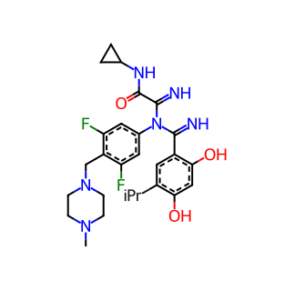 CC(C)c1cc(C(=N)N(C(=N)C(=O)NC2CC2)c2cc(F)c(CN3CCN(C)CC3)c(F)c2)c(O)cc1O